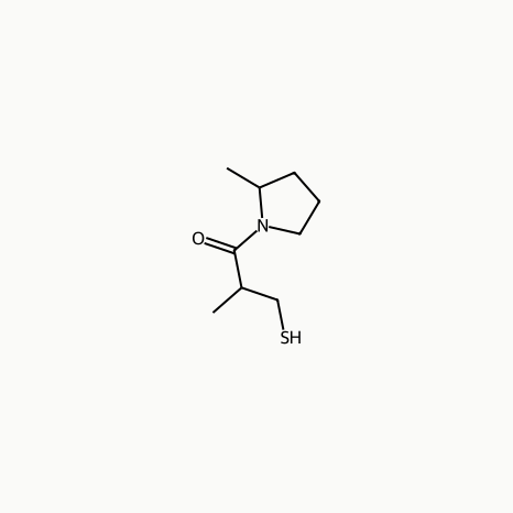 CC(CS)C(=O)N1CCCC1C